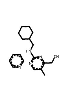 Cc1cnc(NCC2CCCCC2)nc1CC#N.c1ccncc1